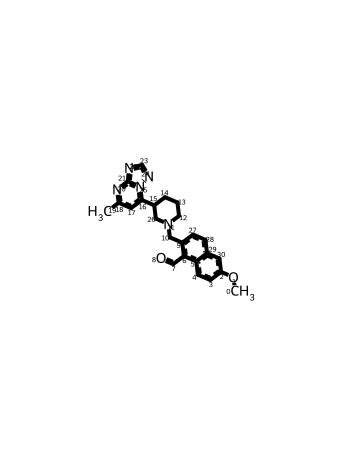 COc1ccc2c(C=O)c(CN3CCCC(c4cc(C)nc5ncnn45)C3)ccc2c1